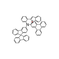 c1ccc(N(c2ccc3c(c2)-c2ccccc2C32c3ccccc3-c3ccccc32)c2ccc3c4ccccc4c4ccccc4c3c2)c(-c2cc3ccccc3s2)c1